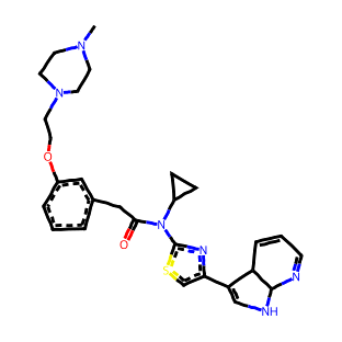 CN1CCN(CCOc2cccc(CC(=O)N(c3nc(C4=CNC5N=CC=CC45)cs3)C3CC3)c2)CC1